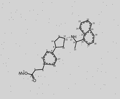 COC(=O)CCc1ccc(C2CC[C@H](NC(C)c3cccc4ccccc34)C2)cc1